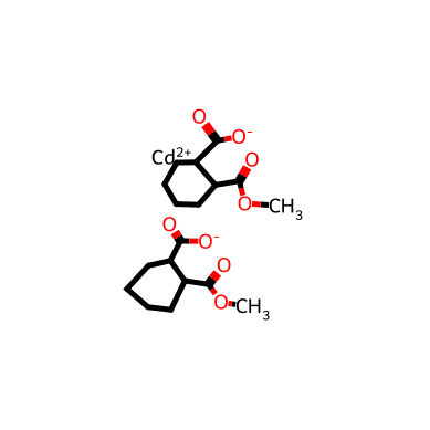 COC(=O)C1CCCCC1C(=O)[O-].COC(=O)C1CCCCC1C(=O)[O-].[Cd+2]